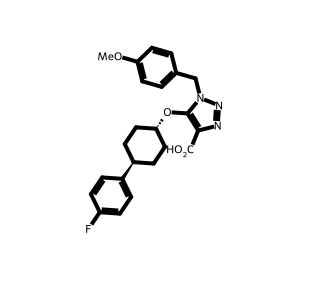 COc1ccc(Cn2nnc(C(=O)O)c2O[C@H]2CC[C@H](c3ccc(F)cc3)CC2)cc1